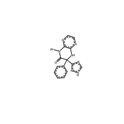 CC(C)N1C(=O)C(c2ccccc2)(c2nc[nH]n2)Nc2nccnc21